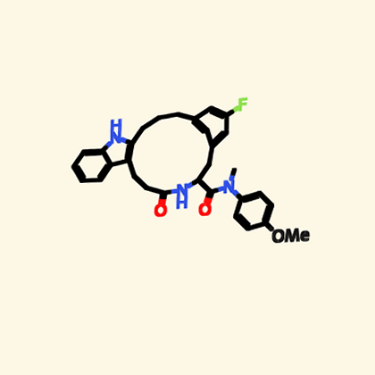 COc1ccc(N(C)C(=O)C2Cc3cc(F)cc(c3)CCCc3[nH]c4ccccc4c3CCC(=O)N2)cc1